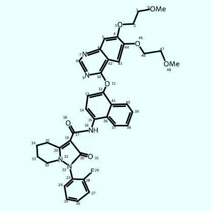 COCCOc1cc2ncnc(Oc3ccc(NC(=O)c4c5n(n(-c6ccccc6F)c4=O)CCCC5)c4ccccc34)c2cc1OCCOC